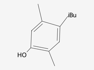 CCC(C)c1cc(C)c(O)cc1C